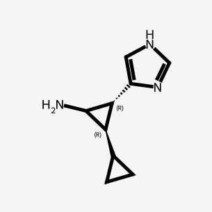 NC1[C@H](C2CC2)[C@H]1c1c[nH]cn1